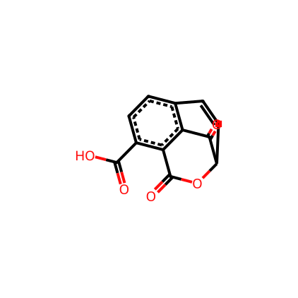 O=C(O)c1ccc2c3c1C(=O)OC(C=C2)C3=O